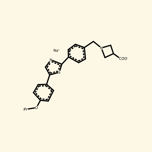 CC(C)Oc1ccc(-c2cnc(-c3ccc(CN4CC(C(=O)[O-])C4)cc3)s2)cc1.[Na+]